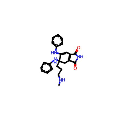 CNCCCC1(Nc2ccccc2)CC2=C(C=C1Nc1ccccc1)C(=O)NC2=O